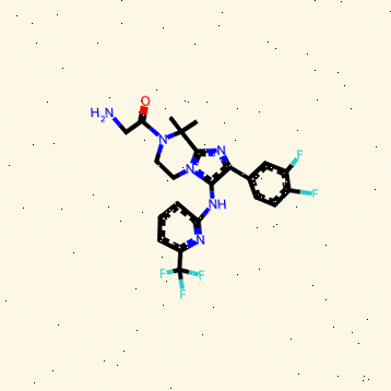 CC1(C)c2nc(-c3ccc(F)c(F)c3)c(Nc3cccc(C(F)(F)F)n3)n2CCN1C(=O)CN